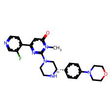 Cn1c(N2CCN[C@@H](c3ccc(N4CCOCC4)cc3)C2)nc(-c2ccncc2F)cc1=O